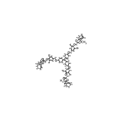 CC1(OC(=O)COc2c(I)cc(COc3ccc([S+](c4ccc(OCc5cc(I)c(OCC(=O)OC6(C)C7CC8CC(C7)CC6C8)c(I)c5)cc4)c4ccc(Oc5cc(I)c(OCC(=O)OC6(C)C7CC8CC(C7)CC6C8)c(I)c5)cc4)cc3)cc2I)C2CC3CC(C2)CC1C3